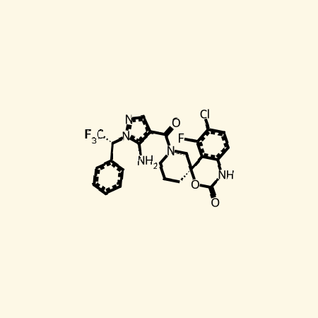 Nc1c(C(=O)N2CCC[C@@]3(C2)OC(=O)Nc2ccc(Cl)c(F)c23)cnn1[C@H](c1ccccc1)C(F)(F)F